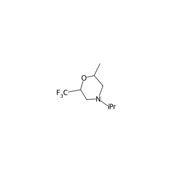 CC1CN(C(C)C)CC(C(F)(F)F)O1